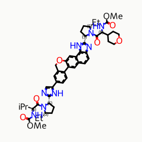 CC[C@H]1CC[C@@H](c2ncc(-c3ccc4c(c3)COc3cc5c(ccc6nc([C@@H]7CC[C@H](CC)N7C(=O)[C@@H](NC(=O)OC)C7CCOCC7)[nH]c65)cc3-4)[nH]2)N1C(=O)[C@@H](NC(=O)OC)C(C)C